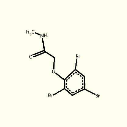 CNC(=O)COc1c(Br)cc(Br)cc1Br